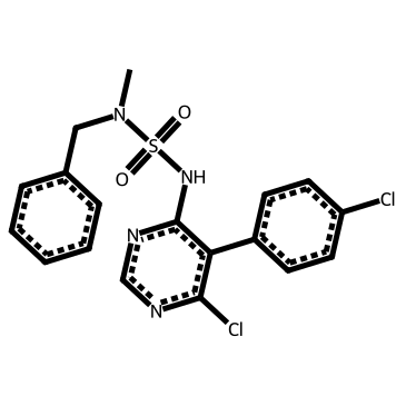 CN(Cc1ccccc1)S(=O)(=O)Nc1ncnc(Cl)c1-c1ccc(Cl)cc1